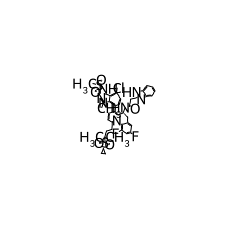 Cn1nc(NS(C)(=O)=O)c2c(Cl)ccc(-c3ccc(CCC(C)(C)S(=O)(=O)C4CC4)nc3[C@H](Cc3cc(F)cc(F)c3)NC(=O)Cc3nc4ccccc4[nH]3)c21